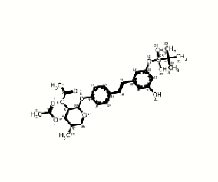 CC(=O)O[C@@H]1[C@@H](OC(C)=O)[C@@H](Oc2ccc(/C=C/c3cc(O)cc(O[Si](C)(C)C(C)(C)C)c3)cc2)OC[C@H]1C